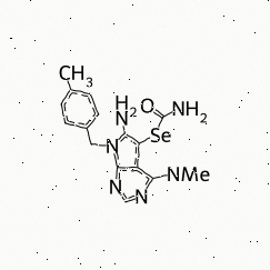 CNc1ncnc2c1c([Se]C(N)=O)c(N)n2Cc1ccc(C)cc1